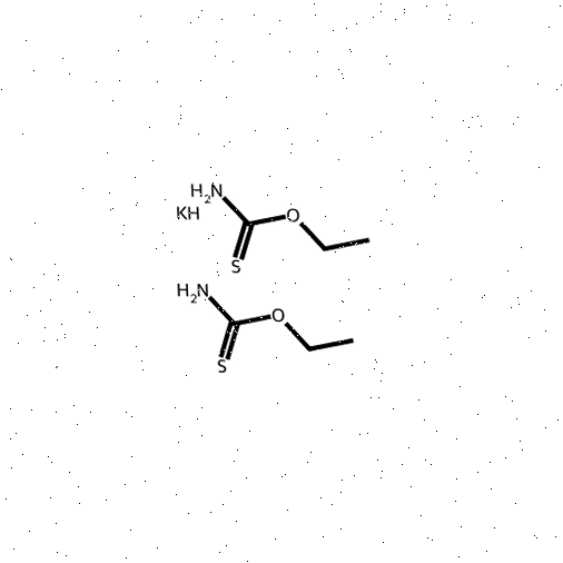 CCOC(N)=S.CCOC(N)=S.[KH]